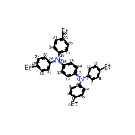 CCc1ccc(N(c2ccc(CC)cc2)c2ccc(N(c3ccc(CC)cc3)c3ccc(CC)cc3)cc2)cc1